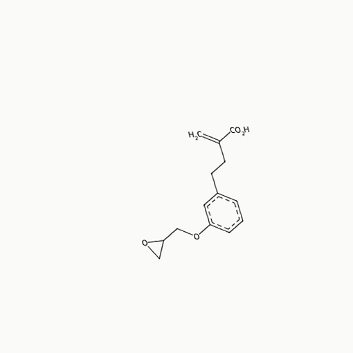 C=C(CCc1cccc(OCC2CO2)c1)C(=O)O